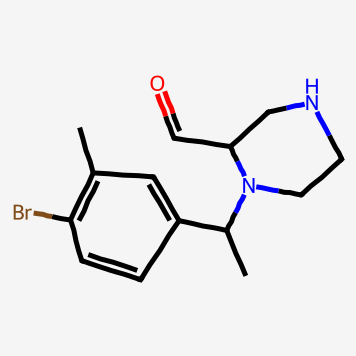 Cc1cc(C(C)N2CCNCC2C=O)ccc1Br